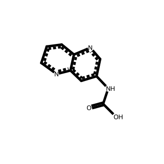 O=C(O)Nc1cnc2cccnc2c1